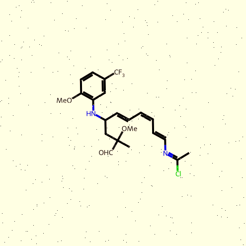 COc1ccc(C(F)(F)F)cc1NC(/C=C/C=C\C=C\N=C(/C)Cl)CC(C)(C=O)OC